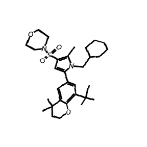 Cc1c(S(=O)(=O)N2CCOCC2)cc(-c2cc(C(C)(C)C)c3c(c2)C(C)(C)CCO3)n1CC1CCCCC1